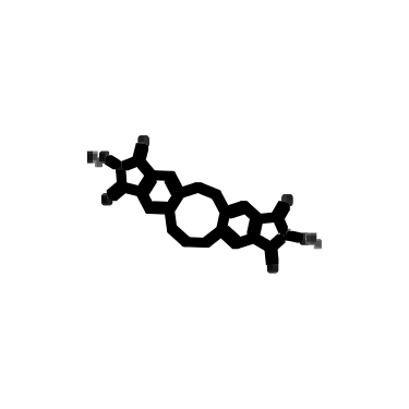 CN1C(=O)c2cc3c(cc2C1=O)CCc1cc2c(cc1CCC3)C(=O)N(C)C2=O